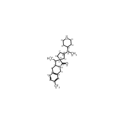 CC1C2Cc3ncc(C(F)(F)F)cc3CN2C(=O)[C@]12CC[C@@H](N(C)C1CCOCC1)C2